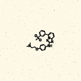 CN(C)CCOc1ccc(Nc2nc3cccc(-c4cccc(S(C)(=O)=O)c4)n3n2)cc1